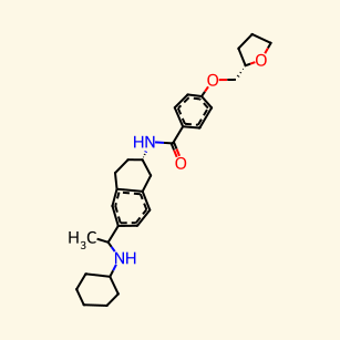 CC(NC1CCCCC1)c1ccc2c(c1)CC[C@H](NC(=O)c1ccc(OC[C@@H]3CCCO3)cc1)C2